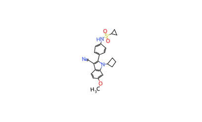 COc1ccc2c(C#N)c(-c3ccc(NS(=O)(=O)C4CC4)cc3)n(C3CCC3)c2c1